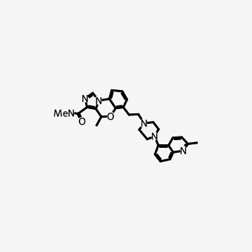 CNC(=O)c1ncn2c1C(C)Oc1c(CCN3CCN(c4cccc5nc(C)ccc45)CC3)cccc1-2